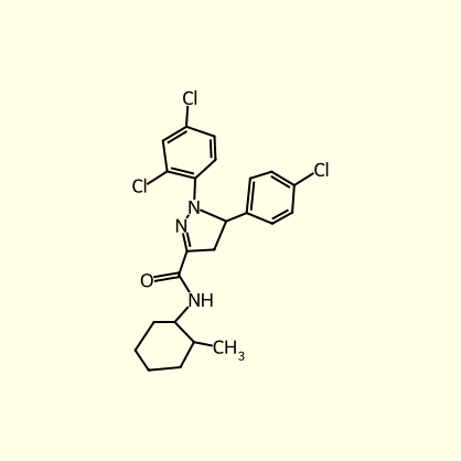 CC1CCCCC1NC(=O)C1=NN(c2ccc(Cl)cc2Cl)C(c2ccc(Cl)cc2)C1